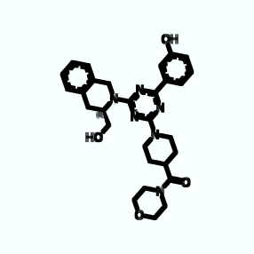 O=C(C1CCN(c2nc(-c3cccc(O)c3)nc(N3Cc4ccccc4C[C@@H]3CO)n2)CC1)N1CCOCC1